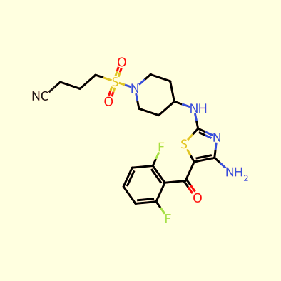 N#CCCCS(=O)(=O)N1CCC(Nc2nc(N)c(C(=O)c3c(F)cccc3F)s2)CC1